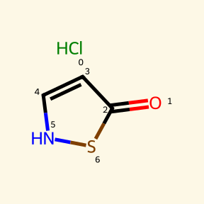 Cl.O=c1cc[nH]s1